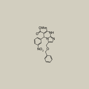 COC(=O)C1=C(C)Nc2ncc(COCc3ccccc3)n2C1c1cccc([N+](=O)[O-])c1